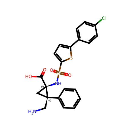 NC[C@@]1(c2ccccc2)C[C@]1(NS(=O)(=O)c1ccc(-c2ccc(Cl)cc2)s1)C(=O)O